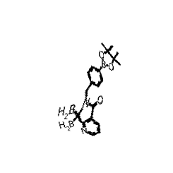 BC1(B)c2ncccc2C(=O)N1Cc1ccc(B2OC(C)(C)C(C)(C)O2)cc1